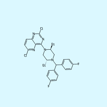 CC[C@H]1CN(C(c2ccc(F)cc2)c2ccc(F)cc2)[C@H](CC)CN1c1nc(Cl)nc2ccc(Cl)nc12